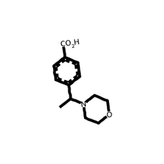 CC(c1ccc(C(=O)O)cc1)N1CCOCC1